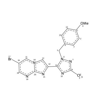 COc1ccc(Cn2nc(C(F)(F)F)nc2-c2cn3cc(Br)cnc3n2)cc1